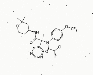 CC1(C)C[C@@H](NC(=O)[C@](C)(c2cncnc2)N(C(=O)[C@H](F)Cl)c2ccc(OC(F)(F)F)cc2)CCO1